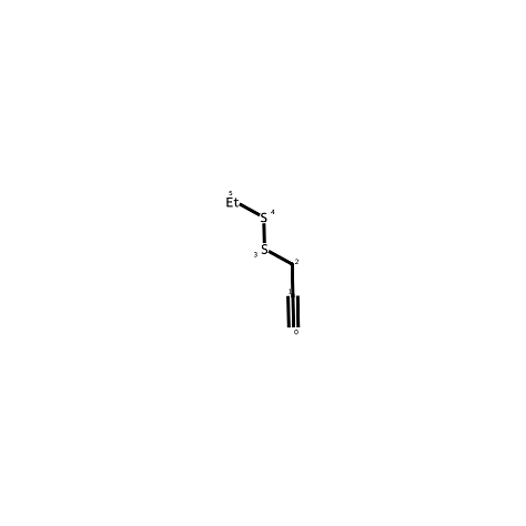 C#CCSSC[CH2]